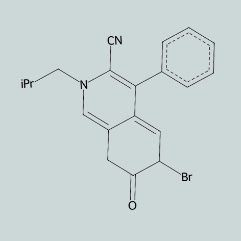 CC(C)CN1C=C2CC(=O)C(Br)C=C2C(c2ccccc2)=C1C#N